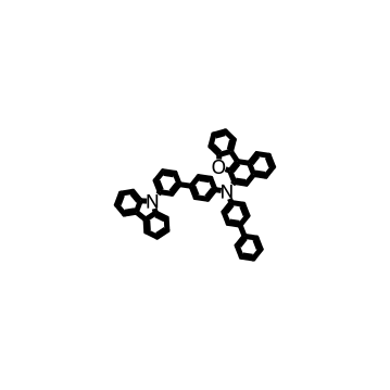 c1ccc(-c2ccc(N(c3ccc(-c4cccc(-n5c6ccccc6c6ccccc65)c4)cc3)c3cc4ccccc4c4c3oc3ccccc34)cc2)cc1